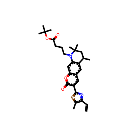 C=Cc1nc(-c2cc3cc4c(cc3oc2=O)N(CCCC(=O)OC(C)(C)C)C(C)(C)CC4C)sc1C